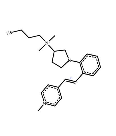 C[n+]1ccc(/C=C/c2ccccc2N2CCC([N+](C)(C)CCCS)C2)cc1